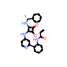 C=CC(=O)Nc1ccccc1-c1cc(Nc2c(N[C@H](C)c3ccccc3)c(=O)c2=O)ccn1